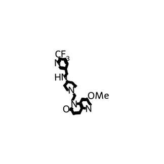 COc1cnc2ccc(=O)n(CCN3CCC(NCc4ccc(C(F)(F)F)nc4)CC3)c2c1